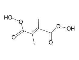 CC(C(=O)OO)=C(C)C(=O)OO